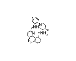 NC1CN(c2ccncc2NCc2ccc(F)c(-c3c(F)cccc3F)n2)CCC1F